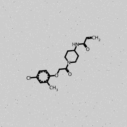 C=CC(=O)NC1CCN(C(=O)COc2ccc(Cl)cc2C)CC1